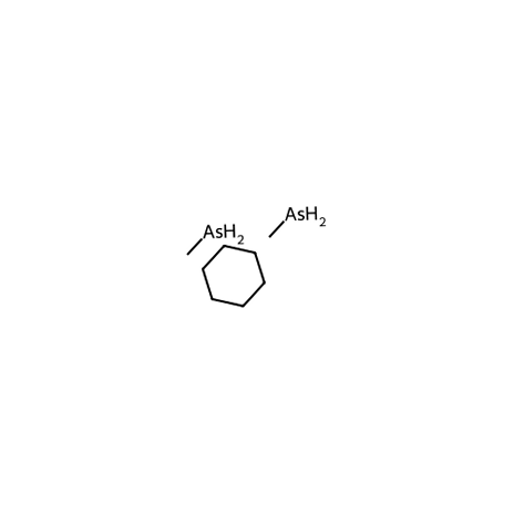 C1CCCCC1.C[AsH2].C[AsH2]